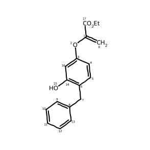 C=C(Oc1ccc(Cc2ccccc2)c(O)c1)C(=O)OCC